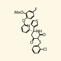 COc1cc(F)ccc1Oc1cccc([C@@]2(c3ccsc3)CC(=O)C(Sc3ccccc3Cl)C(=O)N2)n1